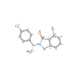 C[C@H](c1ccc(Cl)cc1)N1Cc2cccc(Cl)c2C1=O